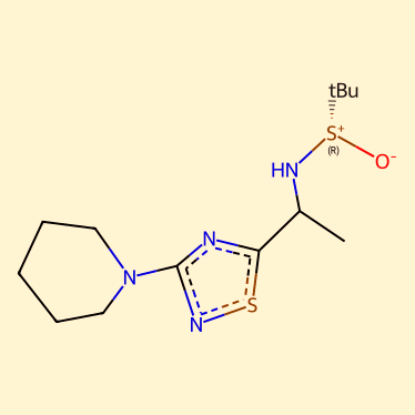 CC(N[S@@+]([O-])C(C)(C)C)c1nc(N2CCCCC2)ns1